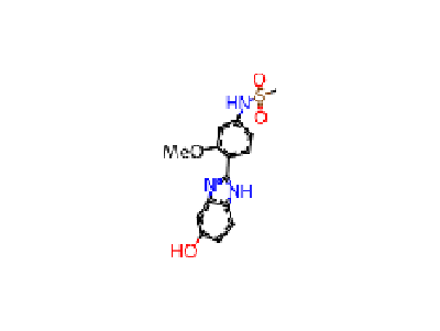 COc1cc(NS(C)(=O)=O)ccc1-c1nc2cc(O)ccc2[nH]1